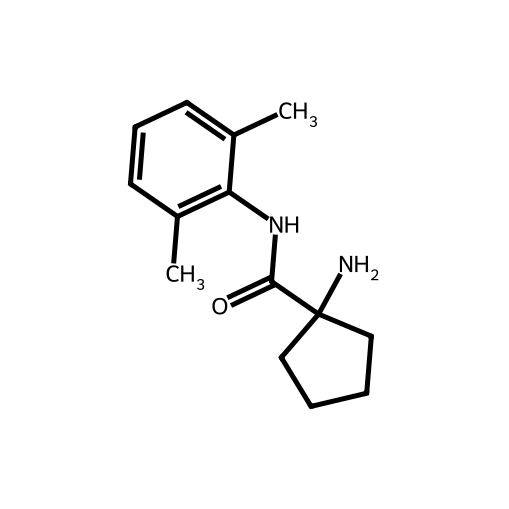 Cc1cccc(C)c1NC(=O)C1(N)CCCC1